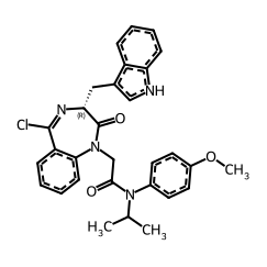 COc1ccc(N(C(=O)CN2C(=O)[C@@H](Cc3c[nH]c4ccccc34)N=C(Cl)c3ccccc32)C(C)C)cc1